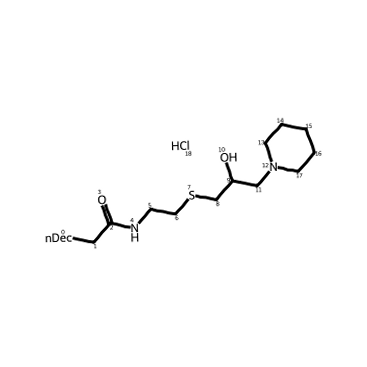 CCCCCCCCCCCC(=O)NCCSCC(O)CN1CCCCC1.Cl